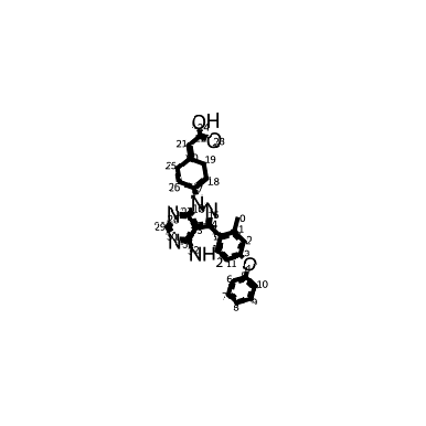 Cc1cc(Oc2ccccc2)ccc1-c1nn(C2CCC(=CC(=O)O)CC2)c2ncnc(N)c12